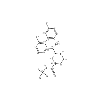 Cc1cccc(-c2c(F)cccc2[C@H](O)[C@H]2CN(C(=O)OC(C)(C)C)CCO2)c1